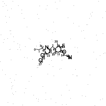 CCC(C)c1nc(Cc2c(C)cc(OCC#N)c(F)c2C)ccc1OCOC